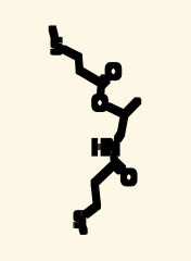 CSCCC(=O)NCC(C)OC(=O)CCSC